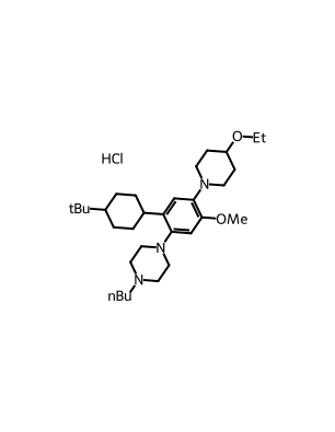 CCCCN1CCN(c2cc(OC)c(N3CCC(OCC)CC3)cc2C2CCC(C(C)(C)C)CC2)CC1.Cl